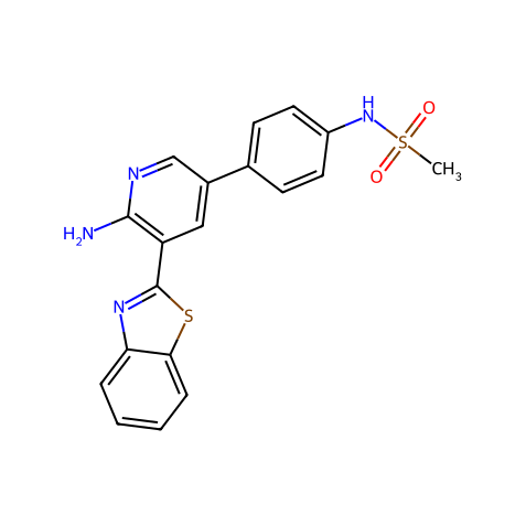 CS(=O)(=O)Nc1ccc(-c2cnc(N)c(-c3nc4ccccc4s3)c2)cc1